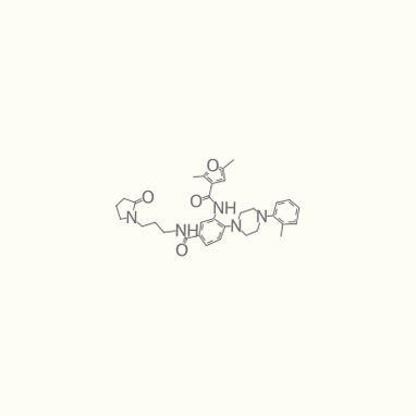 Cc1cc(C(=O)Nc2cc(C(=O)NCCCN3CCCC3=O)ccc2N2CCN(c3ccccc3C)CC2)c(C)o1